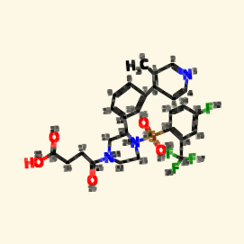 Cc1cnccc1-c1cccc(C2CN(C(=O)CCC(=O)O)CCN2S(=O)(=O)c2ccc(F)cc2C(F)(F)F)c1